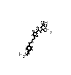 CC(CC(=O)O)CC(=O)c1ccc(CCCCc2ccc(CN)cc2)s1